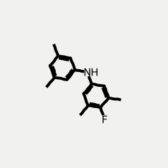 Cc1cc(C)cc(Nc2cc(C)c(F)c(C)c2)c1